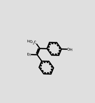 CC/C(=C(\C(=O)O)c1ccc(O)cc1)c1ccccc1